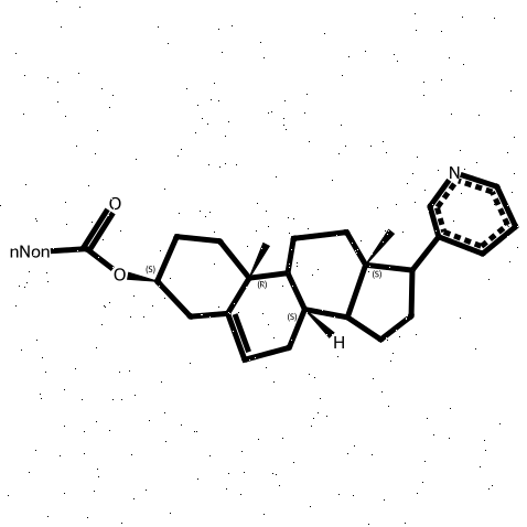 CCCCCCCCCC(=O)O[C@H]1CC[C@@]2(C)C(=CC[C@H]3C4CCC(c5cccnc5)[C@@]4(C)CCC32)C1